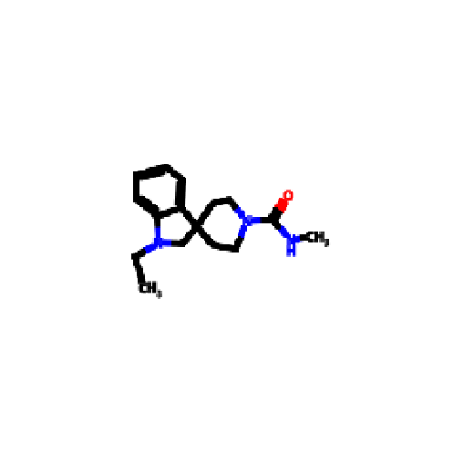 CCN1CC2(CCN(C(=O)NC)CC2)c2ccccc21